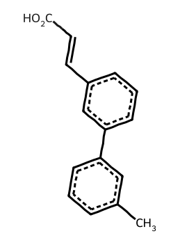 Cc1cccc(-c2cccc(C=CC(=O)O)c2)c1